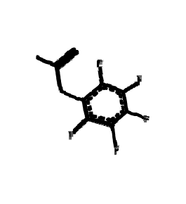 C=C(C)Cc1c(F)c(F)c(F)c(F)c1F